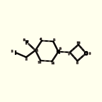 FC1(CI)CCN(C2COC2)CC1